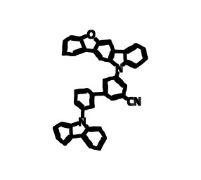 N#Cc1cc(-c2cccc(-n3c4ccccc4c4ccccc43)c2)cc(-n2c3ccccc3c3cc4oc5ccccc5c4cc32)c1